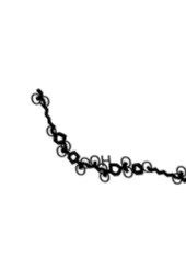 C=CC(=O)OCCCCCCOc1ccc(OC(=O)C2CCC(C(=O)OCC(O)COC(=O)C3CCC(C(=O)Oc4ccc(OCCCCCCOC(=O)C=C)cc4)CC3)CC2)cc1